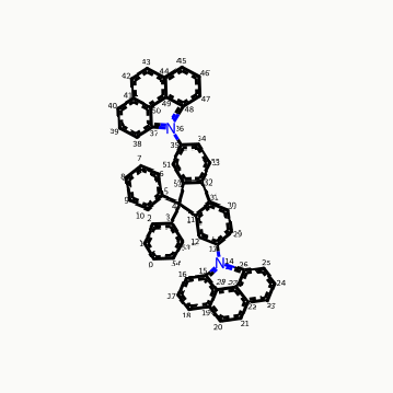 c1ccc(C2(c3ccccc3)c3cc(-n4c5cccc6ccc7cccc4c7c65)ccc3-c3ccc(-n4c5cccc6ccc7cccc4c7c65)cc32)cc1